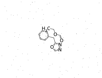 CCOC=O.c1ccc(Cc2nnco2)cc1